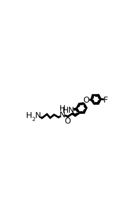 NCCCCCNC(=O)c1cc2ccc(Oc3ccc(F)cc3)cc2[nH]1